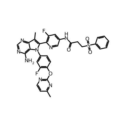 Cc1ccnc(Oc2ccc(-n3c(-c4ncc(NC(=O)CCS(=O)(=O)c5ccccc5)cc4F)c(C)c4ncnc(N)c43)cc2F)n1